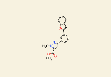 COC(=O)c1cc(-c2cccc(-c3cc4ccccc4o3)c2)nn1C